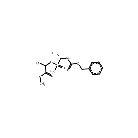 COC(=O)C(C)OP(C)(=O)[C@H](C)NC(=O)OCc1ccccc1